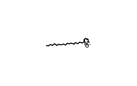 CCCCCCCCCCCCCCCCCCc1cccc[n+]1[O-]